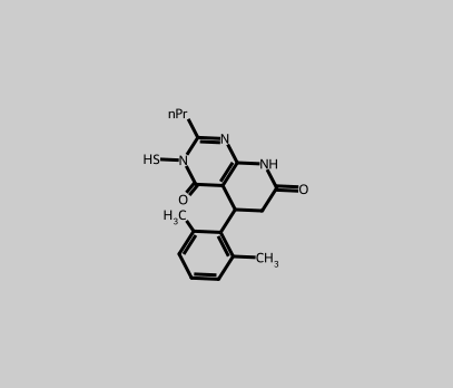 CCCc1nc2c(c(=O)n1S)C(c1c(C)cccc1C)CC(=O)N2